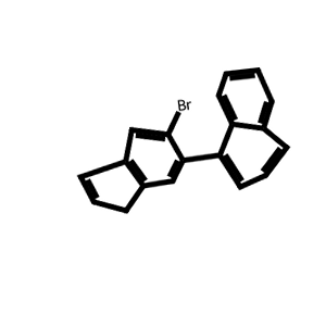 Brc1cc2c(cc1-c1cccc3ccccc13)CC=C2